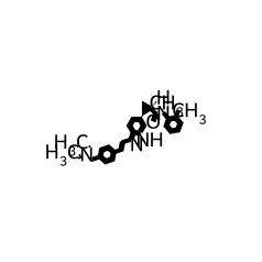 CCN(CC)Cc1ccc(/C=C/c2n[nH]c3cc([C@@H]4C[C@@]4(C)C(=O)Nc4ccccc4C)ccc23)cc1